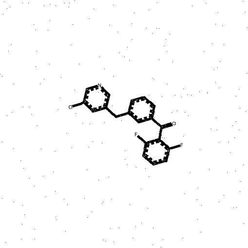 O=C(c1cccc([CH]c2cncc(Cl)c2)c1)c1c(F)cccc1F